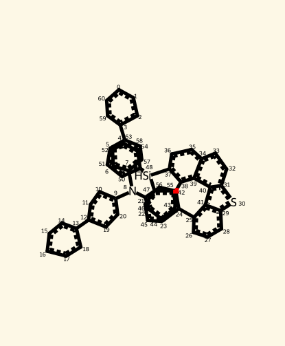 c1ccc(-c2ccc(N(c3ccc(-c4ccccc4)cc3)c3ccc(-c4cccc5sc6ccc7ccc8c(c7c6c45)-c4ccccc4[SiH]8c4ccccc4)cc3)cc2)cc1